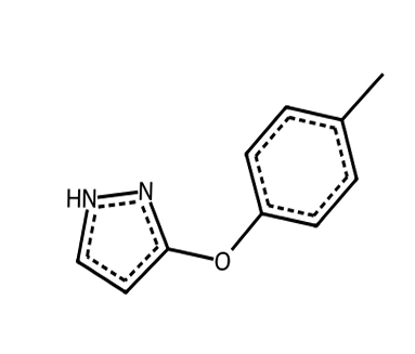 Cc1ccc(Oc2cc[nH]n2)cc1